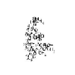 C[C@@H]1C(COP(C)(=O)O[C@H]2OC(COP(C)(=O)O)[C@@H](C)C(C(=O)OCc3ccccc3)[C@H]2C)O[C@H](OP(C)(=O)O)[C@H](C)C1C(=O)OCc1ccccc1